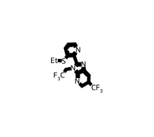 CCSc1cccnc1-c1nc2c(n1CC(F)(F)F)=NCC(C(F)(F)F)C=2